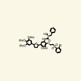 COc1cc(C2CCC(c3cc(OC)c(OC)c(OC)c3)S2)cc(NC(=O)N(O)Cc2ccccc2)c1OCCS(=O)(=O)c1ccccc1Br